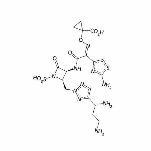 NCC[C@@H](N)c1cnn(C[C@@H]2[C@H](NC(=O)/C(=N\OC3(C(=O)O)CC3)c3csc(N)n3)C(=O)N2S(=O)(=O)O)n1